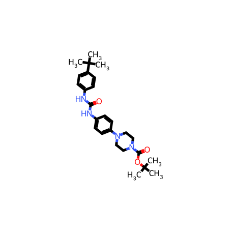 CC(C)(C)OC(=O)N1CCN(c2ccc(NC(=O)Nc3ccc(C(C)(C)C)cc3)cc2)CC1